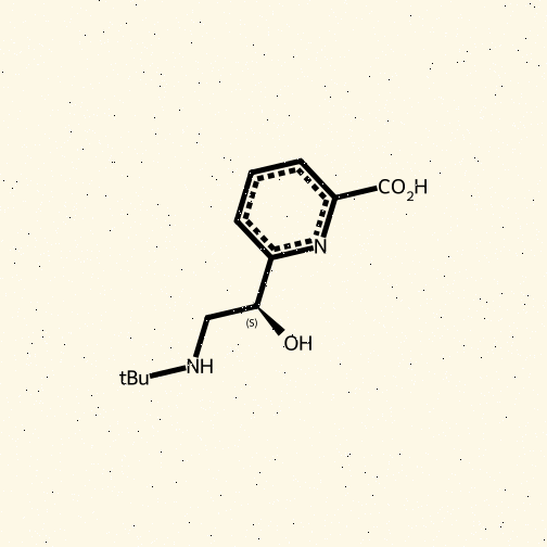 CC(C)(C)NC[C@H](O)c1cccc(C(=O)O)n1